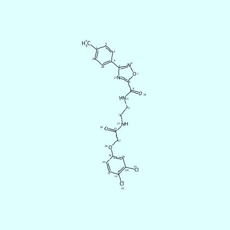 Cc1ccc(-c2noc(C(=O)NCCNC(=O)COc3ccc(Cl)c(Cl)c3)n2)cc1